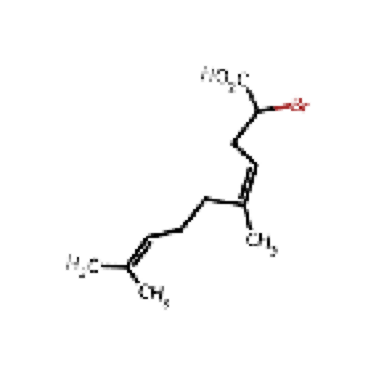 CC(C)=CCCC(C)=CCC(Br)C(=O)O